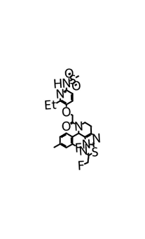 CCc1nc(NS(C)(=O)=O)ccc1OCC(=O)N1CCc2nc3sc(CF)nn3c2C1c1ccc(C)cc1F